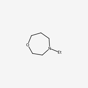 CCN1CCCOCC1